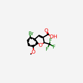 COc1ccc(Br)c2c1OC(C(F)(F)F)C(C(=O)O)=C2